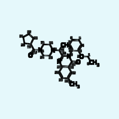 CCOc1ccccc1-n1c(C(C)N2CCN(C(=O)C3CCCC3)CC2)nc2ccc(C)cc2c1=O